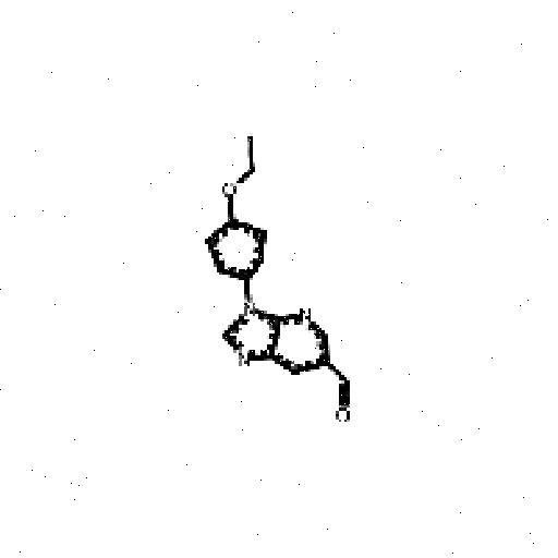 CCOc1ccc(-n2cnc3cc(C=O)cnc32)cc1